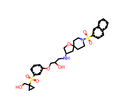 O=S(=O)(c1ccc2ccccc2c1)N1CCC2(CC1)C[C@@H](NCC(O)COc1cccc(S(=O)(=O)C3(CO)CC3)c1)CO2